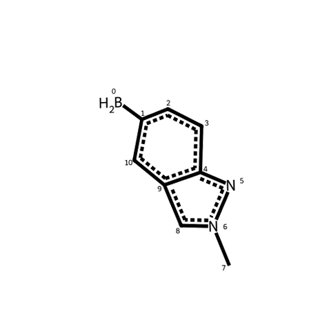 Bc1ccc2nn(C)cc2c1